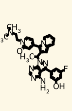 CC(c1cc2ccccn2c1-c1ccn(CCN(C)C)c(=O)c1)n1nc(-c2cc(O)cc(F)c2)c2c(N)ncnc21